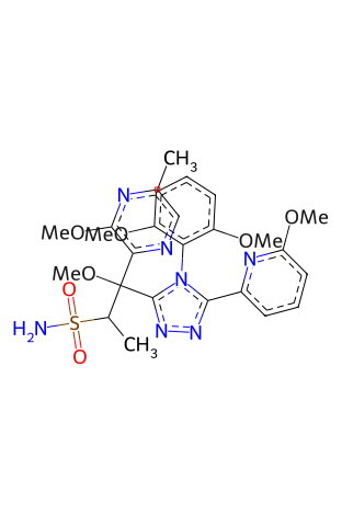 COc1cccc(-c2nnc(C(OC)(c3ncc(C)nc3OC)C(C)S(N)(=O)=O)n2-c2c(OC)cccc2OC)n1